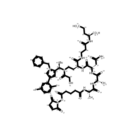 C[C@H](NC(=O)CCCC(=O)ON1C(=O)C=CC1=O)C(=O)N[C@@H](C)C(=O)N[C@@H](CC(N)=O)C(=O)N[C@@H](CCN(C(=O)CO)[C@@H](c1cc(-c2cc(F)ccc2F)cn1Cc1ccccc1)C(C)(C)C)C(=O)NCCC(=O)N[C@@H](CCC(=O)O)C(=O)O